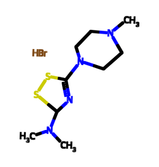 Br.CN1CCN(C2=NC(N(C)C)SS2)CC1